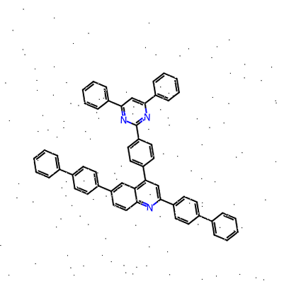 c1ccc(-c2ccc(-c3ccc4nc(-c5ccc(-c6ccccc6)cc5)cc(-c5ccc(-c6nc(-c7ccccc7)cc(-c7ccccc7)n6)cc5)c4c3)cc2)cc1